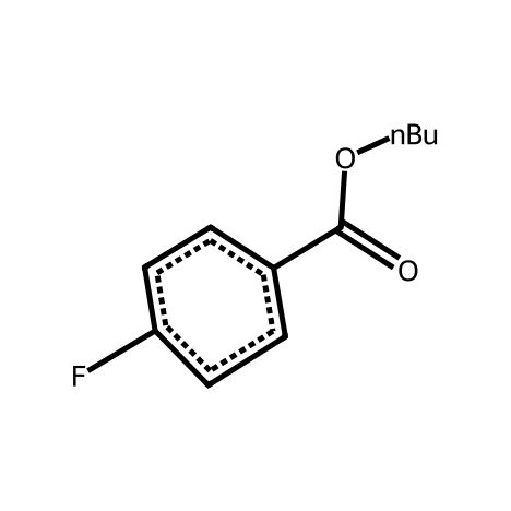 CCCCOC(=O)c1ccc(F)cc1